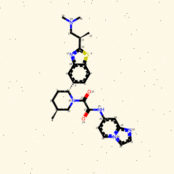 C[C@H]1CC[C@H](c2ccc3sc([C@H](C)CN(C)C)nc3c2)N(C(=O)C(=O)Nc2ccn3ccnc3c2)C1